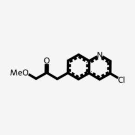 COCC(=O)Cc1ccc2ncc(Cl)cc2c1